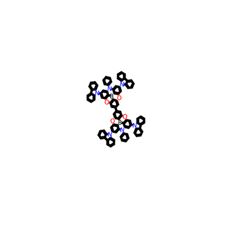 c1ccc(N2c3cc(-n4c5ccccc5c5ccccc54)cc4c3B3c5c(cc(-c6cc7c8c(c6)Oc6cc(-n9c%10ccccc%10c%10ccccc%109)cc9c6B8c6c(cc(-n8c%10ccccc%10c%10ccccc%108)cc6N9c6ccccc6)O7)cc5Oc5cc(-n6c7ccccc7c7ccccc76)cc2c53)O4)cc1